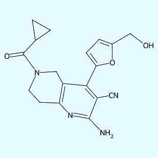 N#Cc1c(N)nc2c(c1-c1ccc(CO)o1)CN(C(=O)C1CC1)CC2